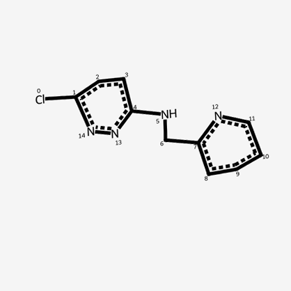 Clc1ccc(NCc2ccccn2)nn1